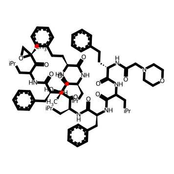 CC(C)CC(NC(=O)[C@H](CCc1ccccc1)NC(=O)CN1CCOCC1)C(=O)N[C@@H](Cc1ccccc1)C(=O)N[C@@H](CC(C)C)C(=O)[C@](C)(O)CN[C@@H](CCc1ccccc1)C(=O)N[C@@H](CC(C)C)C(=O)N[C@@H](Cc1ccccc1)C(=O)NC(CC(C)C)C(=O)[C@@]1(C)CO1